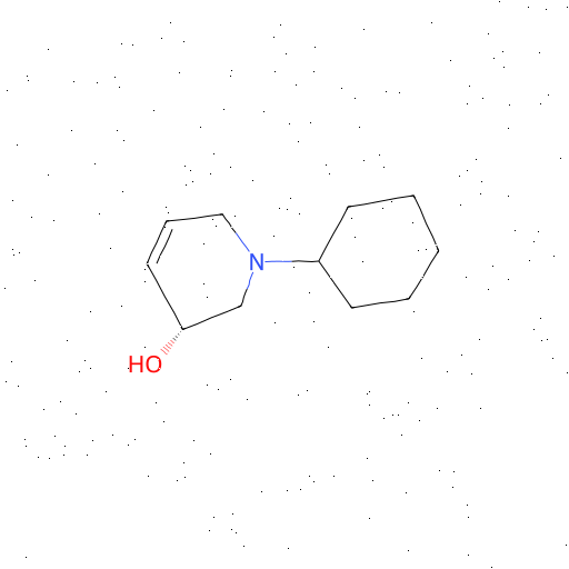 O[C@@H]1C=CCN(C2CCCCC2)C1